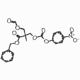 CC(COC=O)(COC(=O)Oc1ccc([N+](=O)[O-])cc1)C(=O)OCc1ccccc1